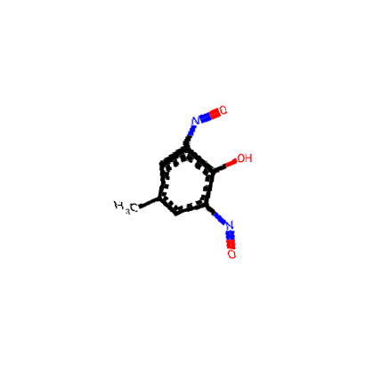 Cc1cc(N=O)c(O)c(N=O)c1